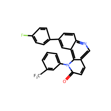 O=c1ccc2cnc3ccc(-c4ccc(F)cc4)cc3c2n1-c1cccc(C(F)(F)F)c1